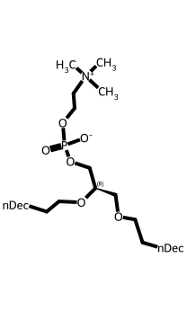 CCCCCCCCCCCCOC[C@H](COP(=O)([O-])OCC[N+](C)(C)C)OCCCCCCCCCCCC